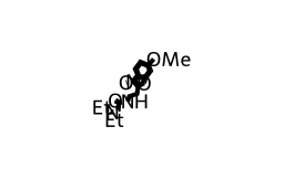 CCN(CC)CC(=O)NCCc1oc2cc(OC)ccc2[n+]1[O-]